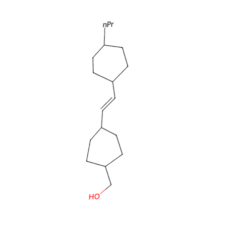 CCCC1CCC(/C=C/C2CCC(CO)CC2)CC1